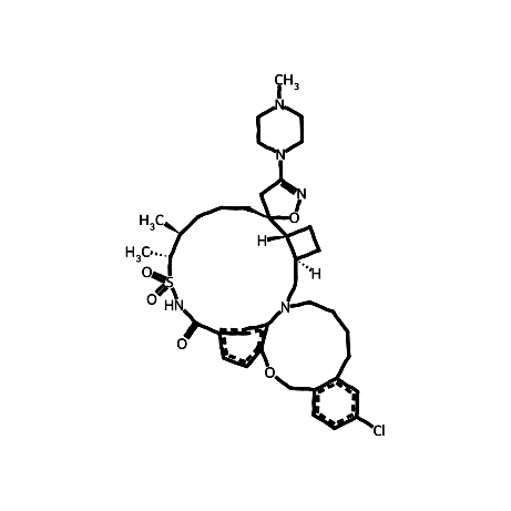 C[C@@H]1[C@@H](C)CCC[C@]2(CC(N3CCN(C)CC3)=NO2)[C@@H]2CC[C@H]2CN2CCCCc3cc(Cl)ccc3COc3ccc(cc32)C(=O)NS1(=O)=O